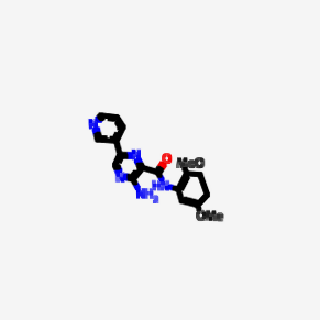 COC1=CC(NC(=O)c2nc(-c3cccnc3)cnc2N)=C(OC)CC1